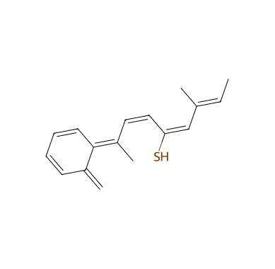 C=c1cccc\c1=C(C)/C=C\C(S)=C/C(C)=C/C